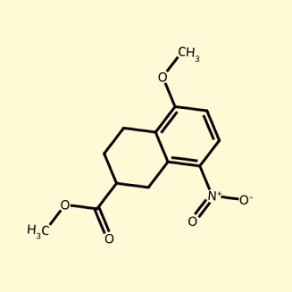 COC(=O)C1CCc2c(OC)ccc([N+](=O)[O-])c2C1